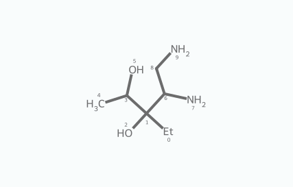 CCC(O)(C(C)O)C(N)CN